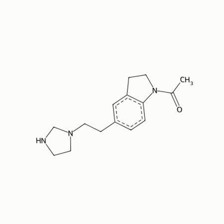 CC(=O)N1CCc2cc(CCN3CCNC3)ccc21